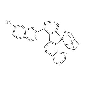 Brc1ccc2ccc(-c3cccc4c3-c3ccc5ccccc5c3C43C4CC5CC(C4)CC3C5)cc2c1